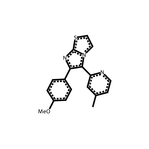 COc1ccc(-c2nc3sccn3c2-c2cc(C)ccn2)cc1